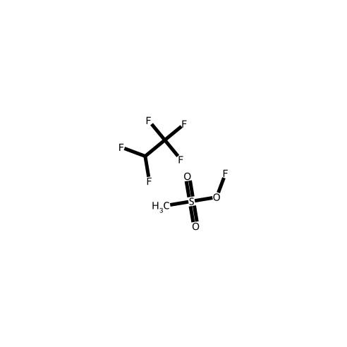 CS(=O)(=O)OF.FC(F)C(F)(F)F